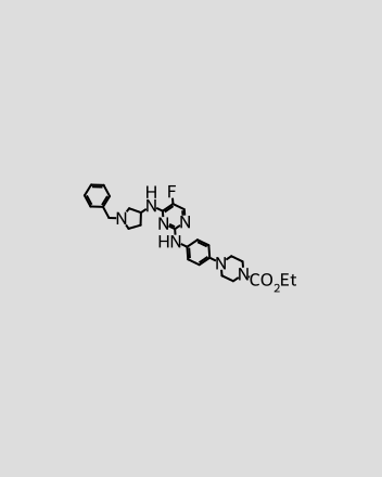 CCOC(=O)N1CCN(c2ccc(Nc3ncc(F)c(NC4CCN(Cc5ccccc5)C4)n3)cc2)CC1